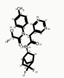 Cc1ccc(N(C(=O)[C@H](F)Cl)[C@@H](C(=O)N[C@H]2CC3CC2CC3(F)F)c2cncnc2)cc1